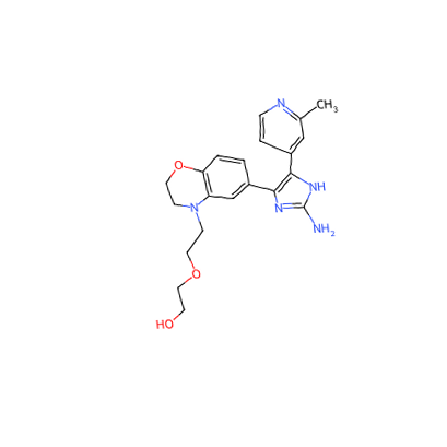 Cc1cc(-c2[nH]c(N)nc2-c2ccc3c(c2)N(CCOCCO)CCO3)ccn1